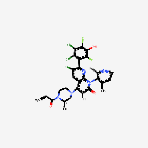 C=CC(=O)N1CCN(c2c(C#N)c(=O)n(-c3c(C)ccnc3C(C)C)c3nc(-c4c(F)c(O)c(F)c(Cl)c4Cl)c(Cl)cc23)C[C@H]1C